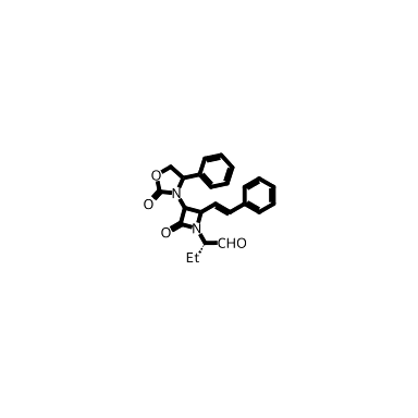 CC[C@@H](C=O)N1C(=O)C(N2C(=O)OCC2c2ccccc2)C1/C=C/c1ccccc1